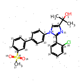 CC(C)(O)c1cn(-c2ccc(-c3cccc(S(C)(=O)=O)c3)cc2)c(-c2ccccc2Cl)n1